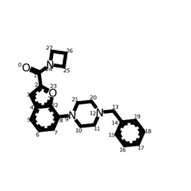 O=C(c1cc2cccc(N3CCN(Cc4ccccc4)CC3)c2o1)N1CCC1